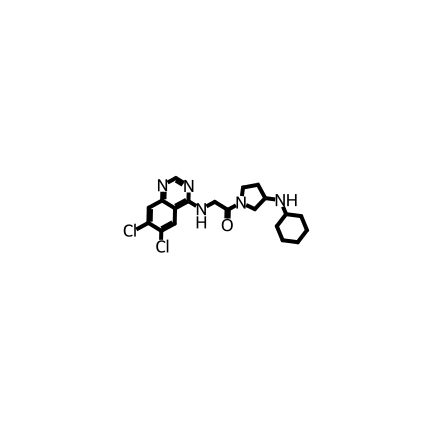 O=C(CNc1ncnc2cc(Cl)c(Cl)cc12)N1CCC(NC2CCCCC2)C1